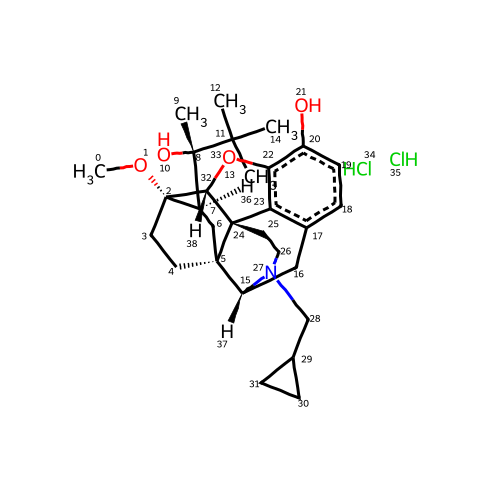 CO[C@@]12CC[C@@]3(C[C@@H]1[C@](C)(O)C(C)(C)C)[C@H]1Cc4ccc(O)c5c4[C@@]3(CCN1CC1CC1)[C@H]2O5.Cl.Cl